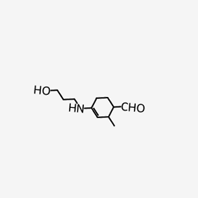 CC1C=C(NCCCO)CCC1C=O